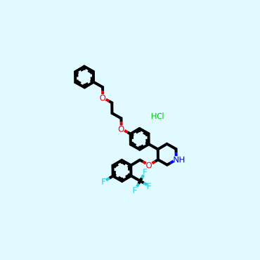 Cl.Fc1ccc(COC2CNCCC2c2ccc(OCCCOCc3ccccc3)cc2)c(C(F)(F)F)c1